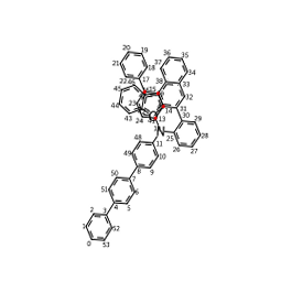 c1ccc(-c2ccc(-c3ccc(N(c4ccc(-c5ccccc5)cc4)c4ccccc4-c4cc5ccccc5c5c4oc4ccccc45)cc3)cc2)cc1